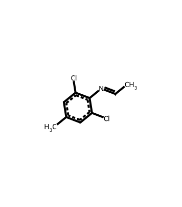 C[C]=Nc1c(Cl)cc(C)cc1Cl